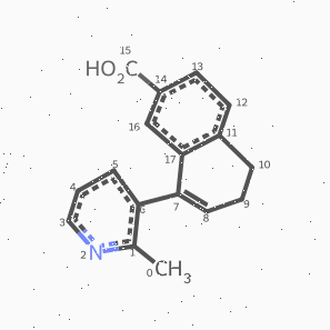 Cc1ncccc1C1=CCCc2ccc(C(=O)O)cc21